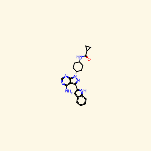 Nc1ncnc2c1c(-c1cc3ccccc3[nH]1)nn2[C@H]1CC[C@H](NC(=O)C2CC2)CC1